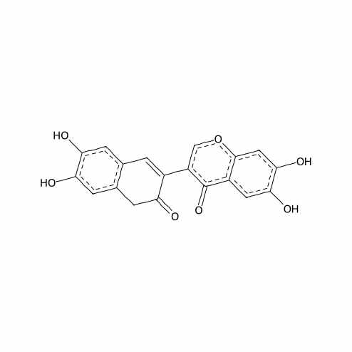 O=C1Cc2cc(O)c(O)cc2C=C1c1coc2cc(O)c(O)cc2c1=O